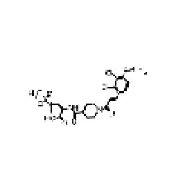 CSc1ccc(C=CC(=O)N2CCC(C(=O)NC(CNS(C)(=O)=O)C(=O)O)CC2)c(Cl)c1Cl